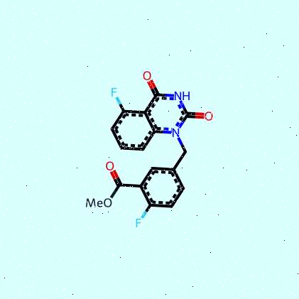 COC(=O)c1cc(Cn2c(=O)[nH]c(=O)c3c(F)cccc32)ccc1F